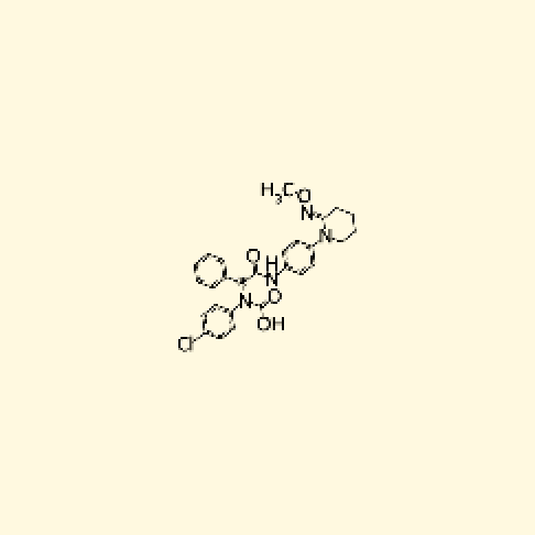 CON=C1CCCCN1c1ccc(NC(=O)[C@@H](c2ccccc2)N(C(=O)O)c2ccc(Cl)cc2)cc1